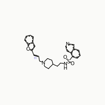 O=S(=O)(NCCC1CCN(C/C=C/c2cc3ccccc3o2)CC1)c1cccc2cnccc12